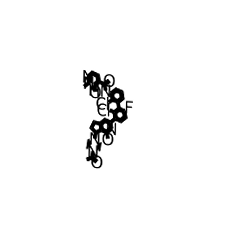 COc1nc(-c2ccc(F)c(-c3cccc(NC(=O)c4ccnn(C)c4=O)c3Cl)c2Cl)cc2c1C(N1CCN(C(C)=O)CC1)CC2